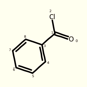 O=C(Cl)c1cc[c]cc1